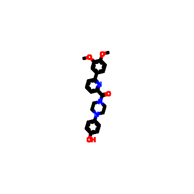 COc1ccc(-c2cccc(C(=O)N3CCN(c4ccc(O)cc4)CC3)n2)cc1OC